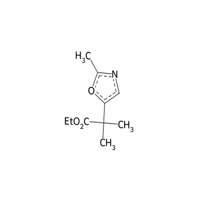 CCOC(=O)C(C)(C)c1cnc(C)o1